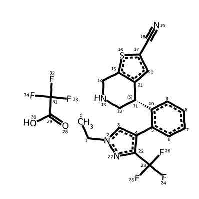 CCn1cc(-c2ccccc2[C@@H]2CNCc3sc(C#N)cc32)c(C(F)(F)F)n1.O=C(O)C(F)(F)F